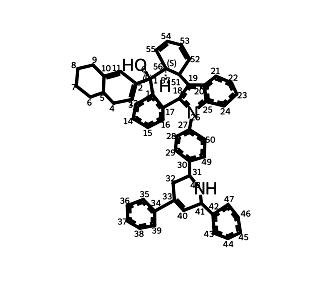 O[C@]1(C2=CCC3CCCCC3=C2)c2ccccc2-c2c(c3ccccc3n2-c2ccc(C3CC(c4ccccc4)=CC(c4ccccc4)N3)cc2)C2C=CC=C[C@@H]21